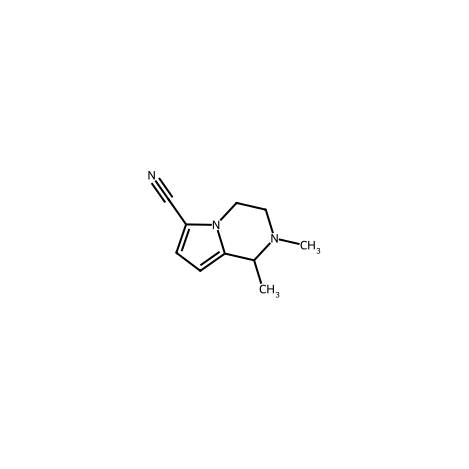 CC1c2ccc(C#N)n2CCN1C